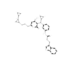 O=C(CCc1c[nH]c2ccccc12)Nc1cccc(C(c2c(O)cc(CCCC3CC3C3CC3)oc2=O)C2CC2)c1